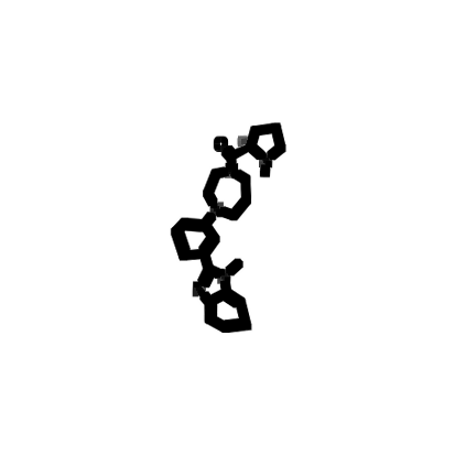 CN1CCC[C@@H]1C(=O)N1CCCN(c2cccc(-c3nc4ccccc4n3C)c2)CC1